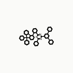 c1ccc(-c2cc(-c3ccccc3)cc(-c3nc(-c4ccccc4)nc(-c4ccccc4-c4cccc5c4-c4ccccc4C5(c4ccccc4)c4ccccc4)n3)c2)cc1